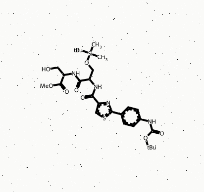 COC(=O)C(CO)NC(=O)C(CO[Si](C)(C)C(C)(C)C)NC(=O)c1csc(-c2ccc(NC(=O)OC(C)(C)C)cc2)n1